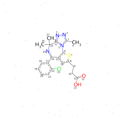 Cc1nnc2n1-c1sc(CCC(=O)O)cc1C(c1ccccc1Cl)=NC2(C)C